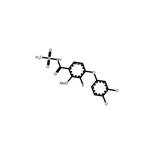 COc1c(C(=O)NS(C)(=O)=O)ccc(Oc2ccc(Cl)c(Cl)c2)c1F